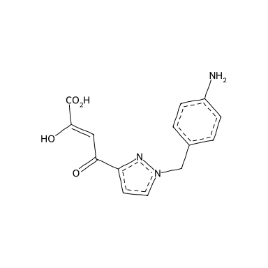 Nc1ccc(Cn2ccc(C(=O)C=C(O)C(=O)O)n2)cc1